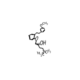 COc1cccc(CCc2ccccc2OC[C@@H](O)CCN(C)C)c1